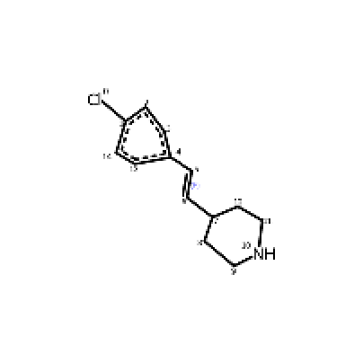 Clc1ccc(/C=C/C2CCNCC2)cc1